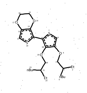 CCCCC(CC)COc1csc(-c2scc3c2OCCO3)c1OCC(CC)CCCC